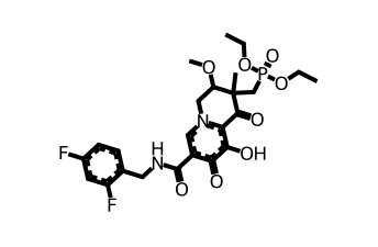 CCOP(=O)(CC1(C)C(=O)c2c(O)c(=O)c(C(=O)NCc3ccc(F)cc3F)cn2CC1OC)OCC